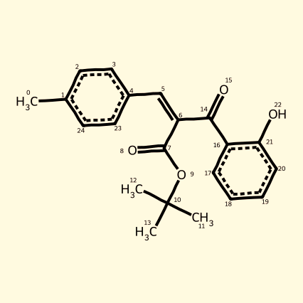 Cc1ccc(C=C(C(=O)OC(C)(C)C)C(=O)c2ccccc2O)cc1